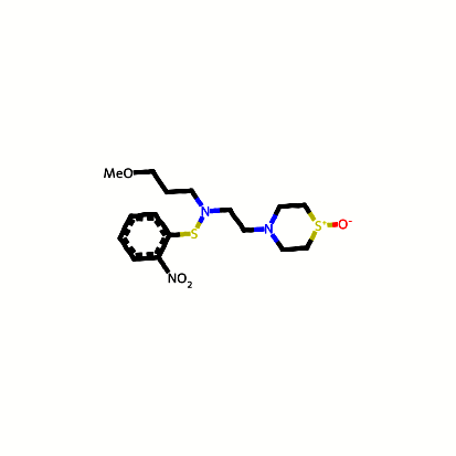 COCCCN(CCN1CC[S+]([O-])CC1)Sc1ccccc1[N+](=O)[O-]